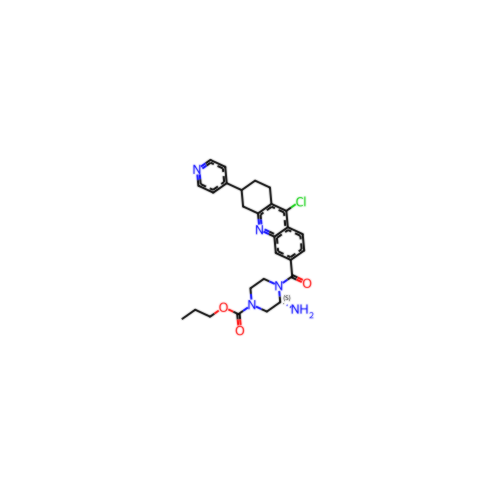 CCCOC(=O)N1CCN(C(=O)c2ccc3c(Cl)c4c(nc3c2)CC(c2ccncc2)CC4)[C@H](N)C1